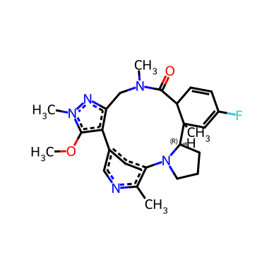 COc1c2c(nn1C)CN(C)C(=O)C1C=CC(F)=CC1(C)[C@H]1CCCN1c1cc-2cnc1C